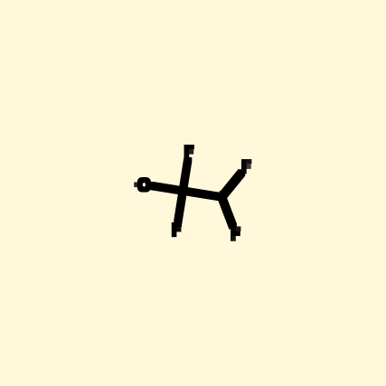 [O]C(F)(F)[C](F)F